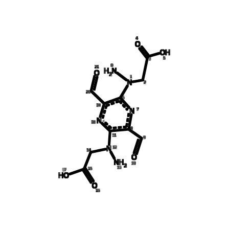 NN(CC(=O)O)c1nc(C=O)c(N(N)CC(=O)O)nc1C=O